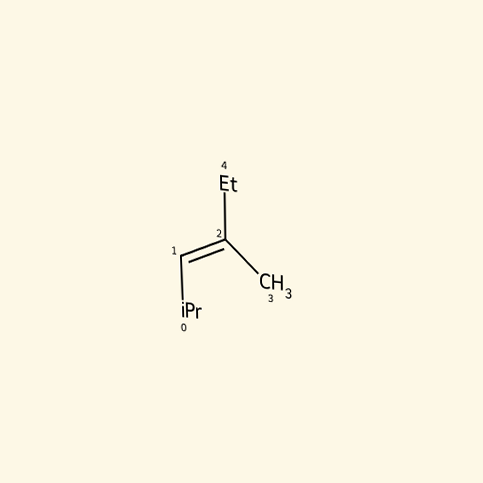 [CH2]C(C)C=C(C)CC